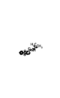 CCN(CC)CCNC(=O)N1CCCC(S(=O)(=O)c2ccccc2)C1